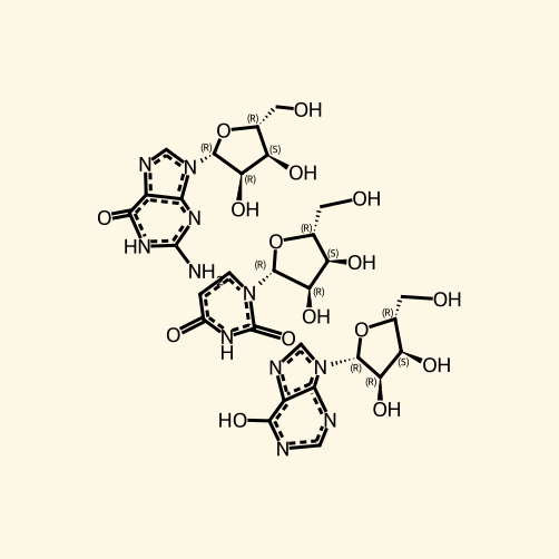 Nc1nc2c(ncn2[C@@H]2O[C@H](CO)[C@@H](O)[C@H]2O)c(=O)[nH]1.O=c1ccn([C@@H]2O[C@H](CO)[C@@H](O)[C@H]2O)c(=O)[nH]1.OC[C@H]1O[C@@H](n2cnc3c(O)ncnc32)[C@H](O)[C@@H]1O